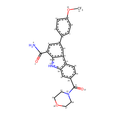 NC(=O)c1cc(-c2ccc(OC(F)(F)F)cc2)cc2c1[nH]c1cc(C(=O)N3CCOCC3)ccc12